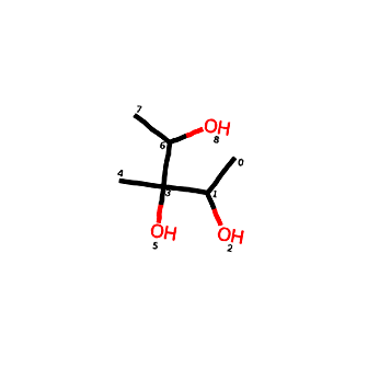 CC(O)C(C)(O)C(C)O